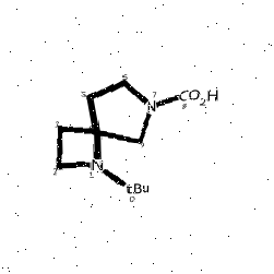 CC(C)(C)N1CCC12CCN(C(=O)O)C2